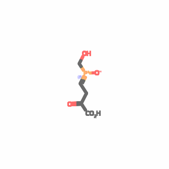 O=C(O)C(=O)C/C=[P+](\[O-])CO